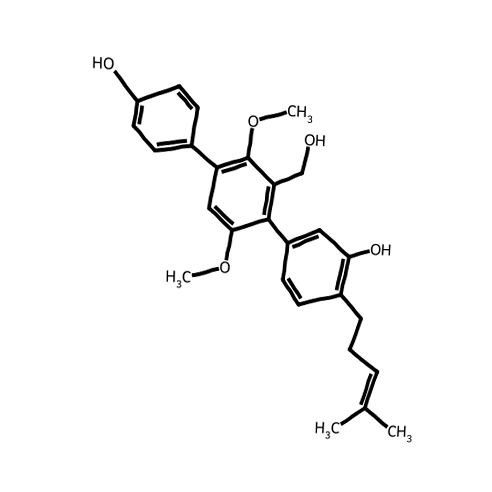 COc1cc(-c2ccc(O)cc2)c(OC)c(CO)c1-c1ccc(CCC=C(C)C)c(O)c1